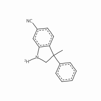 [2H]N1CC(C)(c2ccccc2)c2ccc(C#N)cc21